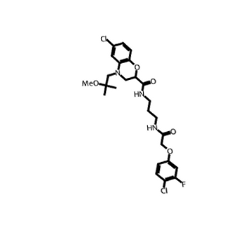 COC(C)(C)CN1CC(C(=O)NCCCNC(=O)COc2ccc(Cl)c(F)c2)Oc2ccc(Cl)cc21